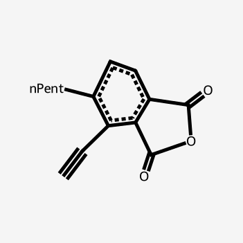 C#Cc1c(CCCCC)ccc2c1C(=O)OC2=O